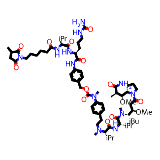 CC[C@H](C)[C@@H]([C@@H](CC(=O)N1CCC[C@H]1[C@H](OC)[C@@H](C)C(N)=O)OC)N(C)C(=O)[C@@H](NC(=O)[C@H](C(C)C)N(C)CCc1ccc(N(C)C(=O)OCc2ccc(NC(=O)[C@H](CCCNC(N)=O)NC(=O)[C@@H](NC(=O)CCCCCN3C(=O)CC(C)C3=O)C(C)C)cc2)cc1)C(C)C